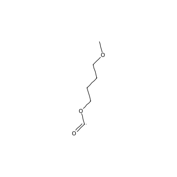 COCCCCO[C]=O